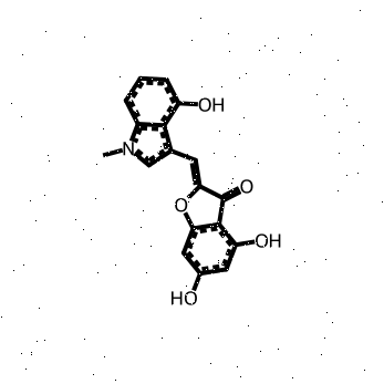 Cn1cc(C=C2Oc3cc(O)cc(O)c3C2=O)c2c(O)cccc21